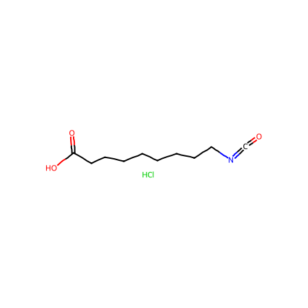 Cl.O=C=NCCCCCCCCC(=O)O